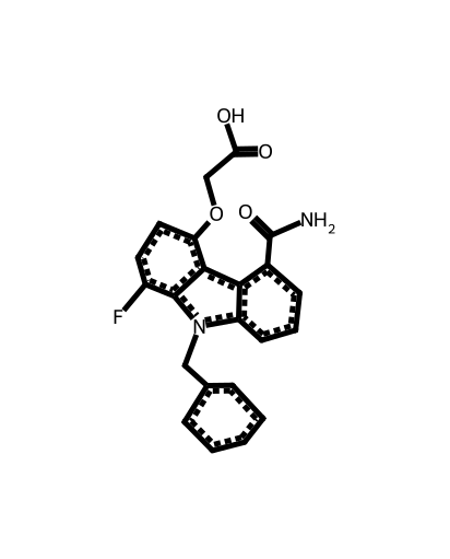 NC(=O)c1cccc2c1c1c(OCC(=O)O)ccc(F)c1n2Cc1ccccc1